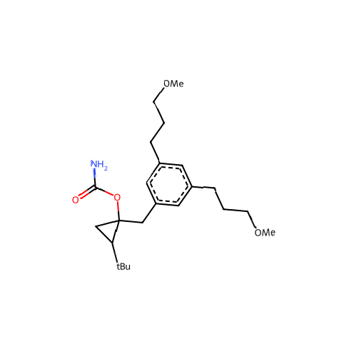 COCCCc1cc(CCCOC)cc(CC2(OC(N)=O)CC2C(C)(C)C)c1